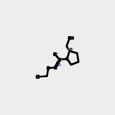 [O-]/[N+](=N\OCCl)N1CCC[C@H]1CO